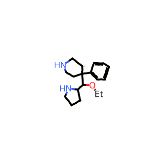 CCOC(C1CCCN1)C1(c2ccccc2)[CH]CNCC1